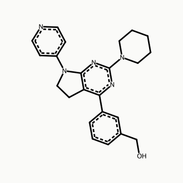 OCc1cccc(-c2nc(N3CCCCC3)nc3c2CCN3c2ccncc2)c1